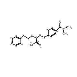 CN(C)C(=O)c1ccc(SCC(CCCc2ccccc2)C(=O)O)cc1